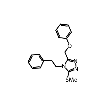 CSc1nnc(COc2ccccc2)n1CCc1ccccc1